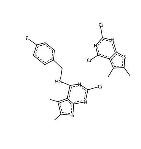 Cc1sc2nc(Cl)nc(Cl)c2c1C.Cc1sc2nc(Cl)nc(NCc3ccc(F)cc3)c2c1C